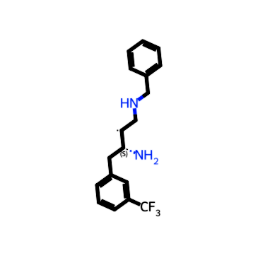 N[C@@H]([CH]CNCc1ccccc1)Cc1cccc(C(F)(F)F)c1